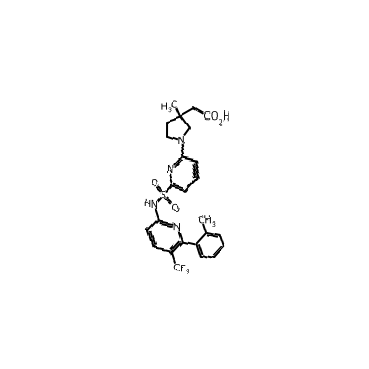 Cc1ccccc1-c1nc(NS(=O)(=O)c2cccc(N3CCC(C)(CC(=O)O)C3)n2)ccc1C(F)(F)F